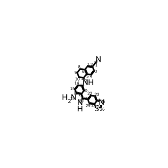 N#Cc1ccc2c(c1)CCCC2Nc1ccc(N)c(C(=N)c2ccc3ncsc3c2)c1